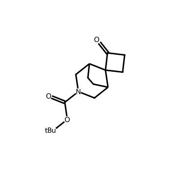 CC(C)(C)OC(=O)N1CC2CCC(C1)C21CCC1=O